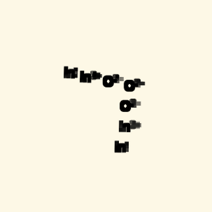 [In+3].[In+3].[In].[In].[O-2].[O-2].[O-2]